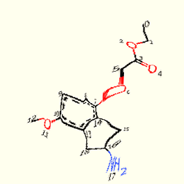 CCOC(=O)COc1ccc(OC)c2c1CC(N)C2